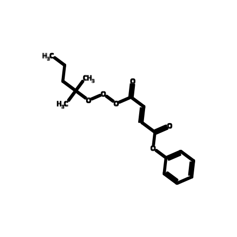 CCCC(C)(C)OOOC(=O)C=CC(=O)Oc1ccccc1